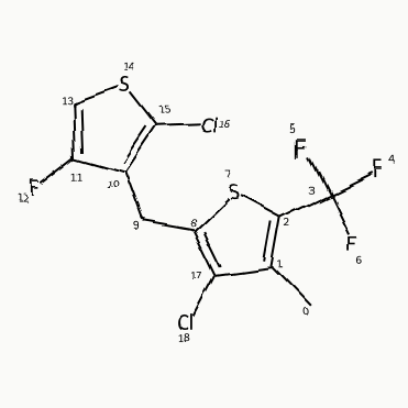 Cc1c(C(F)(F)F)sc(Cc2c(F)csc2Cl)c1Cl